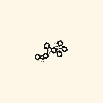 c1ccc([Si]2(c3ccccc3)c3ccccc3Oc3c2ccc2c3c3ccccc3n2-c2ccc3oc4ccccc4c3c2)cc#1